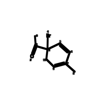 CC(=O)C1(Br)C=CC(C)=CC1